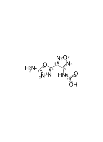 Nc1nnc(-c2nonc2NC(=O)O)o1